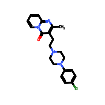 Cc1nc2ccccn2c(=O)c1CCN1CCN(c2ccc(Cl)cc2)CC1